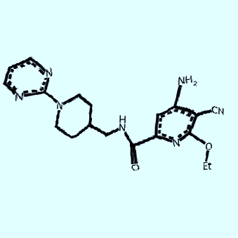 CCOc1nc(C(=O)NCC2CCN(c3ncccn3)CC2)cc(N)c1C#N